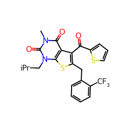 CC(C)Cn1c(=O)n(C)c(=O)c2c(C(=O)c3cccs3)c(Cc3ccccc3C(F)(F)F)sc21